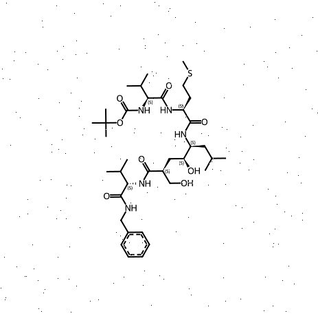 CSCC[C@H](NC(=O)[C@@H](NC(=O)OC(C)(C)C)C(C)C)C(=O)N[C@@H](CC(C)C)[C@@H](O)C[C@@H](CO)C(=O)N[C@H](C(=O)NCc1ccccc1)C(C)C